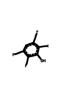 Oc1c(F)c(F)cc(F)c1I